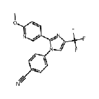 COc1ccc(-c2nc(C(F)(F)F)cn2-c2ccc(C#N)cc2)cn1